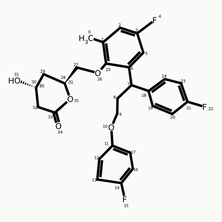 Cc1cc(F)cc(C(CCOc2ccc(F)cc2)c2ccc(F)cc2)c1OC[C@@H]1C[C@@H](O)CC(=O)O1